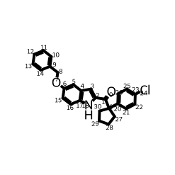 O=C(c1cc2cc(OCc3ccccc3)ccc2[nH]1)C1(c2ccc(Cl)cc2)CCCC1